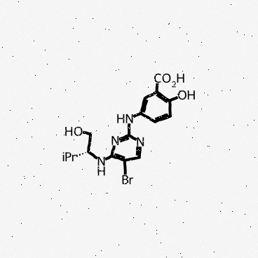 CC(C)[C@H](CO)Nc1nc(Nc2ccc(O)c(C(=O)O)c2)ncc1Br